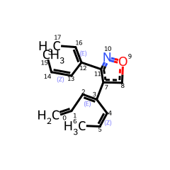 C=C/C=C(\C=C/C)c1conc1C(/C=C\C)=C/C